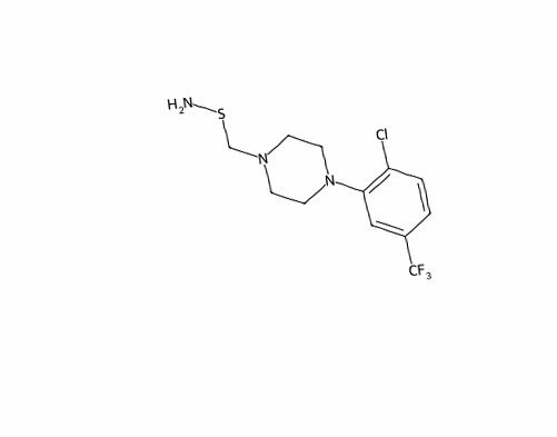 NSCN1CCN(c2cc(C(F)(F)F)ccc2Cl)CC1